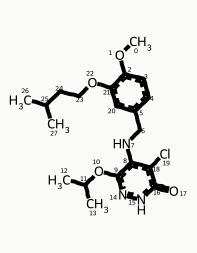 COc1ccc(CNc2c(OC(C)C)n[nH]c(=O)c2Cl)cc1OCCC(C)C